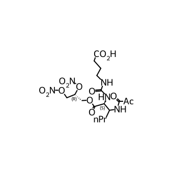 CCCC(NC(=O)C(C)=O)[C@H](NC(=O)NCCCC(=O)O)C(=O)OC[C@H](CO[N+](=O)[O-])O[N+](=O)[O-]